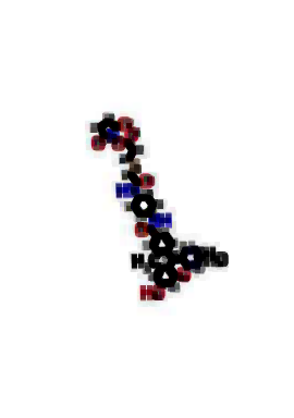 C/C=C\C1=C(c2ccc(C(=O)NC3CCC(NC(=O)CSCCC(=O)ON4C(=O)CCC4=O)CC3)cc2C)c2ccc(O)cc2O/C1=C/C=O